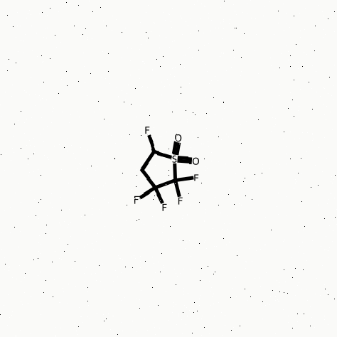 O=S1(=O)C(F)CC(F)(F)C1(F)F